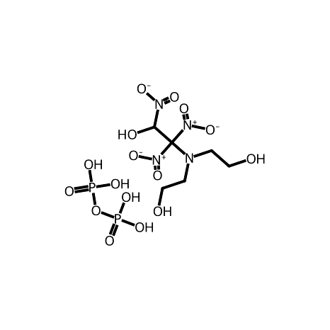 O=P(O)(O)OP(=O)(O)O.O=[N+]([O-])C(O)C(N(CCO)CCO)([N+](=O)[O-])[N+](=O)[O-]